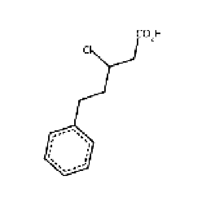 O=C(O)CC(Cl)CCc1ccccc1